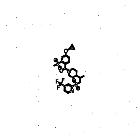 CC(CS(=O)(=O)c1cc(C(F)(F)F)ccn1)C1CCN(C(=O)c2ccc(OC3CC3)cc2S(C)(=O)=O)CC1